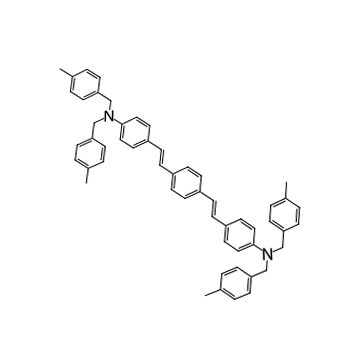 Cc1ccc(CN(Cc2ccc(C)cc2)c2ccc(C=Cc3ccc(C=Cc4ccc(N(Cc5ccc(C)cc5)Cc5ccc(C)cc5)cc4)cc3)cc2)cc1